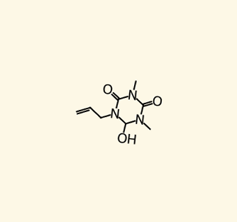 C=CCN1C(=O)N(C)C(=O)N(C)C1O